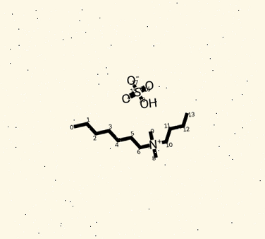 CCCCCCC[N+](C)(C)CCCC.O=S(=O)([O-])O